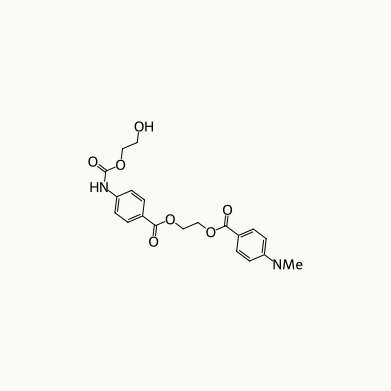 CNc1ccc(C(=O)OCCOC(=O)c2ccc(NC(=O)OCCO)cc2)cc1